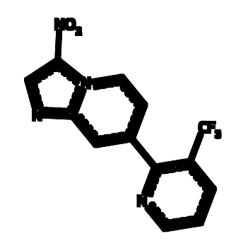 O=[N+]([O-])c1cnc2cc(-c3ncccc3C(F)(F)F)ccn12